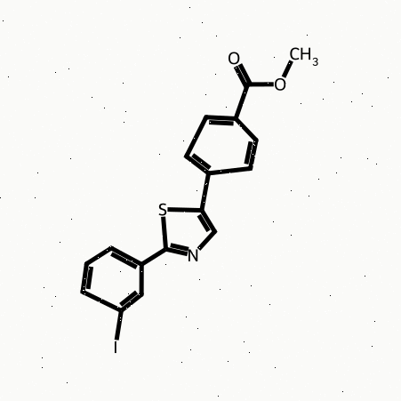 COC(=O)c1ccc(-c2cnc(-c3cccc(I)c3)s2)cc1